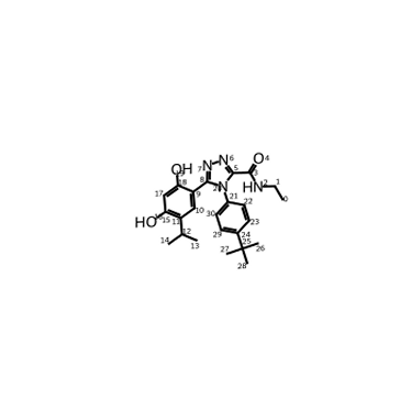 CCNC(=O)c1nnc(-c2cc(C(C)C)c(O)cc2O)n1-c1ccc(C(C)(C)C)cc1